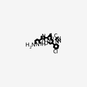 Nc1ccc(-c2cnc(C3C4CC4c4cc(-c5cc(Cl)ccc5-n5cc(C(F)(F)F)nn5)cc(=O)n43)[nH]2)c(F)n1